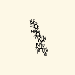 Fc1cnc(-c2cncc(-c3ccc(Nc4cccc(C(F)(F)F)c4)cn3)n2)nc1N1CCOCC1